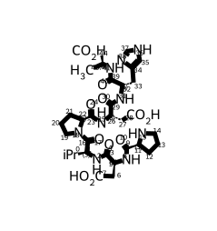 CC(C)[C@H](NC(=O)[C@H](CC(=O)O)NC(=O)[C@@H]1CCCN1)C(=O)N1CCC[C@H]1C(=O)N[C@@H](CC(=O)O)C(=O)N[C@@H](Cc1c[nH]cn1)C(=O)N[C@@H](C)C(=O)O